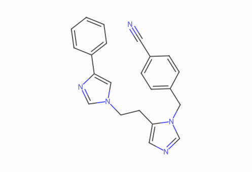 N#Cc1ccc(Cn2cncc2CCn2cnc(-c3ccccc3)c2)cc1